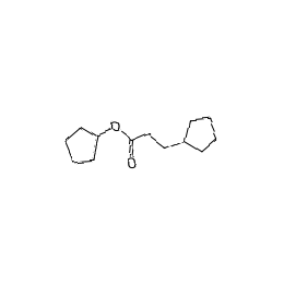 O=C(CCC1CCCC1)OC1CCCC1